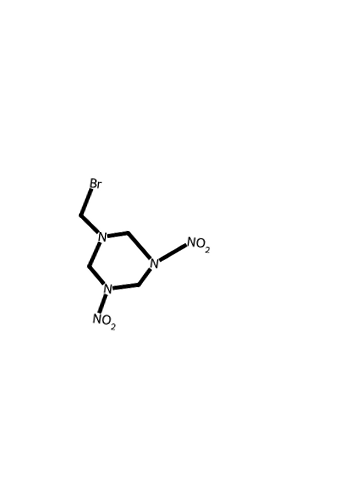 O=[N+]([O-])N1CN(CBr)CN([N+](=O)[O-])C1